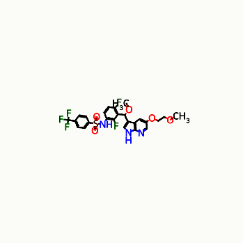 COCCOc1cnc2[nH]cc(C(OC)c3c(F)ccc(NS(=O)(=O)c4ccc(C(F)(F)F)cc4)c3F)c2c1